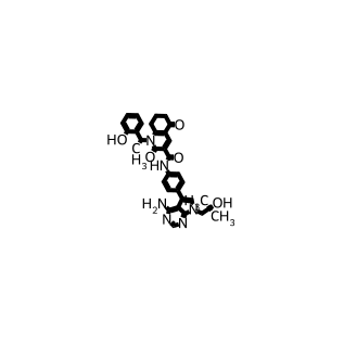 CC(c1ccccc1O)n1c2c(cc(C(=O)Nc3ccc(-c4cn(CC(C)(C)O)c5ncnc(N)c45)cc3)c1=O)C(=O)CCC2